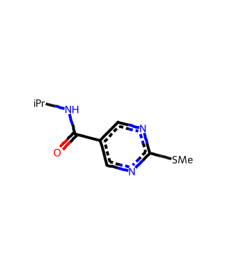 CSc1ncc(C(=O)NC(C)C)cn1